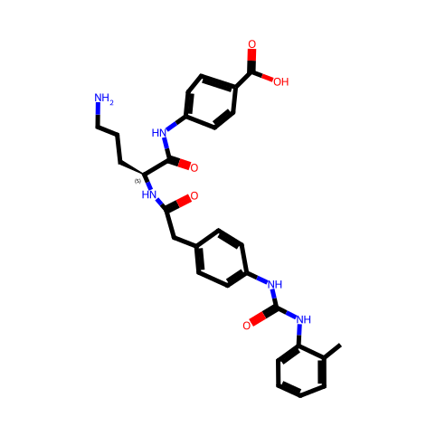 Cc1ccccc1NC(=O)Nc1ccc(CC(=O)N[C@@H](CCCN)C(=O)Nc2ccc(C(=O)O)cc2)cc1